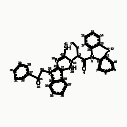 CCC(C(=O)N1c2ccccc2Sc2ccccc21)N1Nc2c(n(CC(=O)c3ccccc3)c3ccccc23)N=C1S